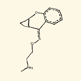 CNCCON=C1c2ccccc2OC2CC12